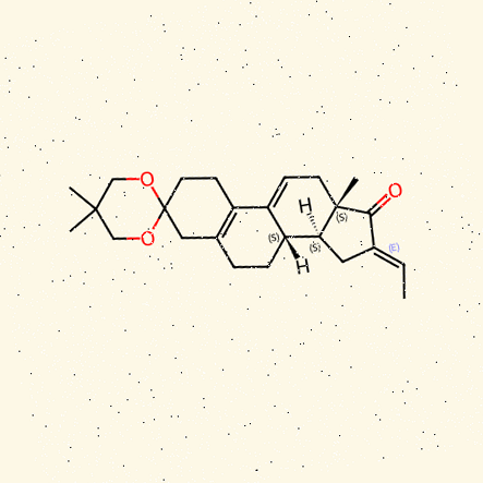 C/C=C1\C[C@H]2[C@@H]3CCC4=C(CCC5(C4)OCC(C)(C)CO5)C3=CC[C@]2(C)C1=O